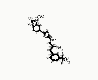 Cn1c(=O)[nH]c2ccc(-c3cnc(NC[C@@H](N)Cc4cccc(C(C)(F)F)c4)s3)cc21